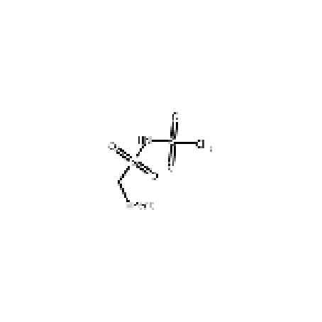 CCCCCCS(=O)(=O)NS(C)(=O)=O